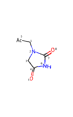 CC(=O)CN1CC(=O)NC1=O